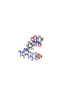 Cn1ccc2c(CN3CCC4(CC3)COC4)cc(-c3ccc4c(c3)CN(N3C(=O)CCCC3=O)C4=O)nc21